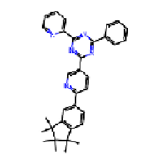 CC1(C)c2ccc(-c3ccc(-c4nc(-c5ccccc5)nc(-c5ccccn5)n4)cn3)cc2C(C)(C)C1(C)C